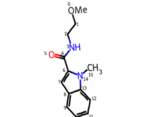 COCCNC(=O)c1cc2ccccc2n1C